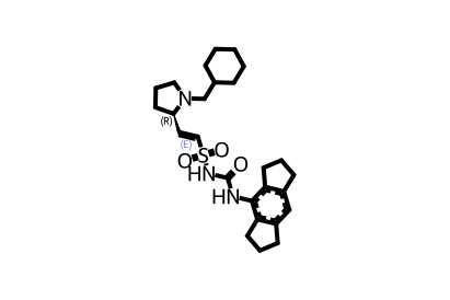 O=C(Nc1c2c(cc3c1CCC3)CCC2)NS(=O)(=O)/C=C/[C@H]1CCCN1CC1CCCCC1